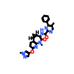 Cc1cnc(C(=O)N[C@@H]2C(=O)N(C)c3nc(Oc4cnn(C)c4)ccc3[C@@H]3C[C@H]23)nc1-c1ccccc1